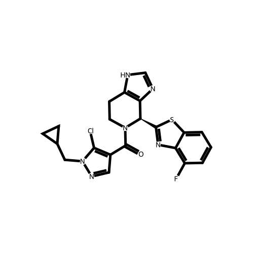 O=C(c1cnn(CC2CC2)c1Cl)N1CCc2[nH]cnc2[C@H]1c1nc2c(F)cccc2s1